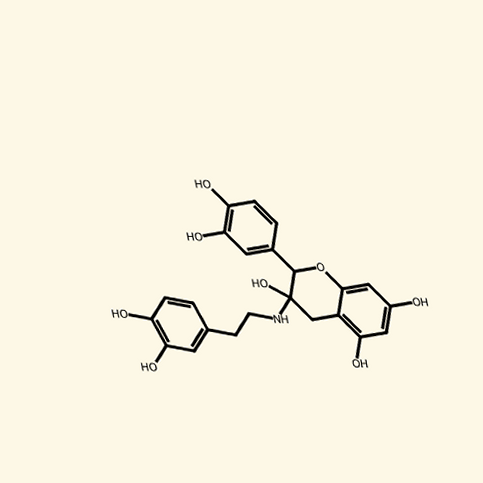 Oc1cc(O)c2c(c1)OC(c1ccc(O)c(O)c1)C(O)(NCCc1ccc(O)c(O)c1)C2